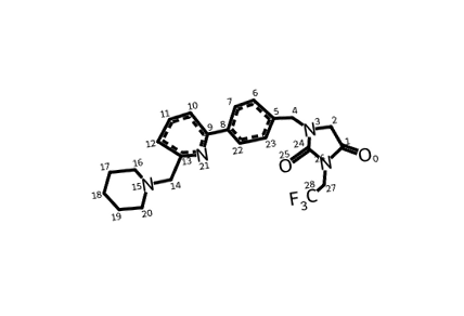 O=C1CN(Cc2ccc(-c3cccc(CN4CCCCC4)n3)cc2)C(=O)N1CC(F)(F)F